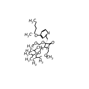 CCCC[C@@H](C)Oc1ccnc(C[C@]2(OCOC)C(=O)N(COC)[C@H]2CO[Si](C(C)C)(C(C)C)C(C)C)c1